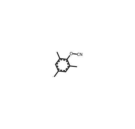 [CH2]c1cc(C)c(OC#N)c(C)c1